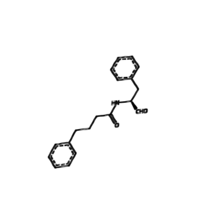 O=C[C@H](Cc1ccccc1)NC(=O)CCCc1ccccc1